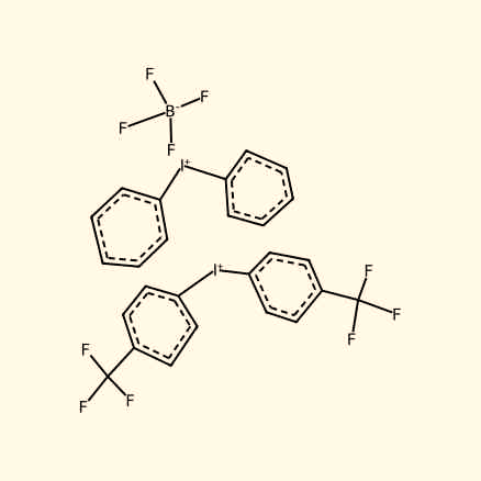 FC(F)(F)c1ccc([I+]c2ccc(C(F)(F)F)cc2)cc1.F[B-](F)(F)F.c1ccc([I+]c2ccccc2)cc1